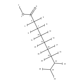 O=C(OI)C(I)(I)C(I)(I)C(I)(I)C(I)(I)C(I)(I)C(I)(I)C(I)C(I)I